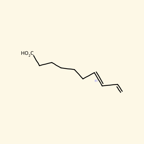 C=C/C=C/CCCCCC(=O)O